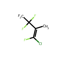 C/C(=C(/F)Cl)C(F)(F)C(F)(F)F